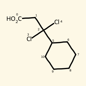 O=C(O)CC(Cl)(Cl)C1CCCCC1